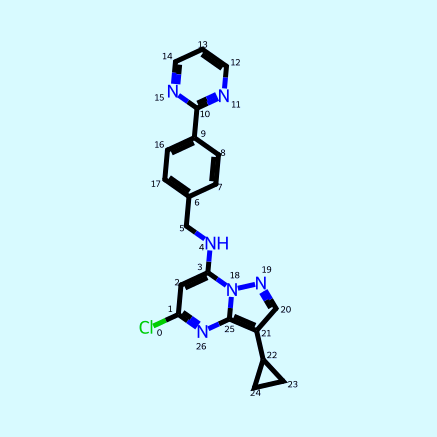 Clc1cc(NCc2ccc(-c3ncccn3)cc2)n2ncc(C3CC3)c2n1